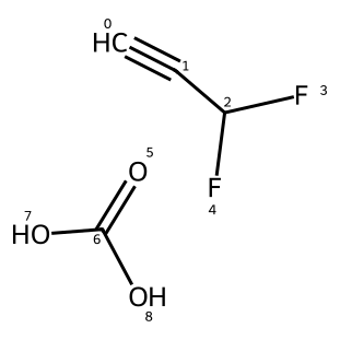 C#CC(F)F.O=C(O)O